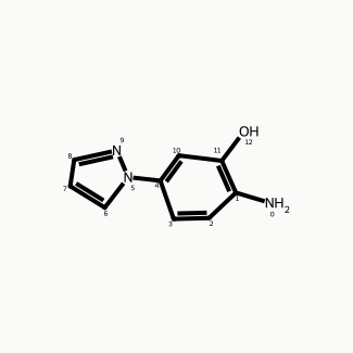 Nc1ccc(-n2cccn2)cc1O